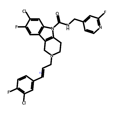 O=C(NCc1ccnc(F)c1)n1c2c(c3cc(F)c(Cl)cc31)CN(C/C=C/c1ccc(F)c(Cl)c1)CC2